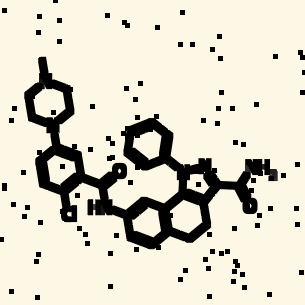 CN1CCN(c2ccc(Cl)c(C(=O)Nc3ccc4c(c3)-c3c(c(C(N)=O)nn3-c3ccccc3)CC4)c2)CC1